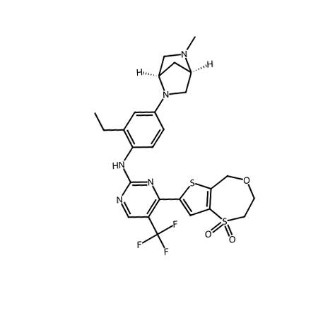 CCc1cc(N2C[C@H]3C[C@@H]2CN3C)ccc1Nc1ncc(C(F)(F)F)c(-c2cc3c(s2)COCCS3(=O)=O)n1